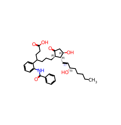 CCCCC[C@H](O)/C=C/[C@H]1[C@H](O)CC(=O)[C@@H]1CCCC(CCC(=O)O)c1ccccc1NC(=O)c1ccccc1